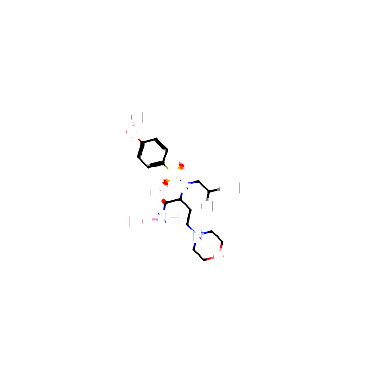 COc1ccc(S(=O)(=O)N(CC(C)C)C(CCN2CCOCC2)C(=O)NO)cc1